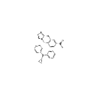 O=[N+]([O-])c1ccc(Cn2ccnc2)c(Cl)c1.c1ccc(B(c2ccccc2)C2CC2)cc1